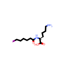 NCCCC[C@H](NC(=O)CCCCCI)C(=O)O